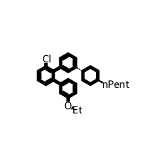 CCCCC[C@H]1CC[C@H](c2cccc(-c3c(Cl)cccc3-c3cccc(OCC)c3)c2)CC1